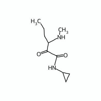 CCCC(NC)C(=O)C(=O)NC1CC1